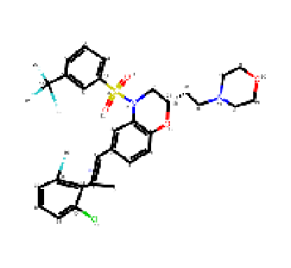 C/C(=C\c1ccc2c(c1)N(S(=O)(=O)c1cccc(C(F)(F)F)c1)C[C@H](CCN1CCOCC1)O2)c1c(F)cccc1Cl